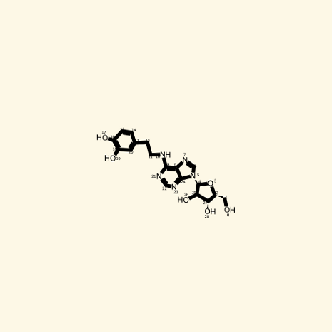 OC[C@H]1O[C@@H](n2cnc3c(NCCc4ccc(O)c(O)c4)ncnc32)C(O)[C@H]1O